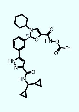 CCC(=O)ONC(=O)C1=CN(C2CCCCC2)[C@H](c2cccc(-c3cc(C(=O)NC(C4CC4)C4CC4)n[nH]3)c2)O1